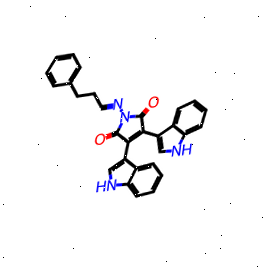 O=C1C(c2c[nH]c3ccccc23)=C(c2c[nH]c3ccccc23)C(=O)N1/N=C/CCc1ccccc1